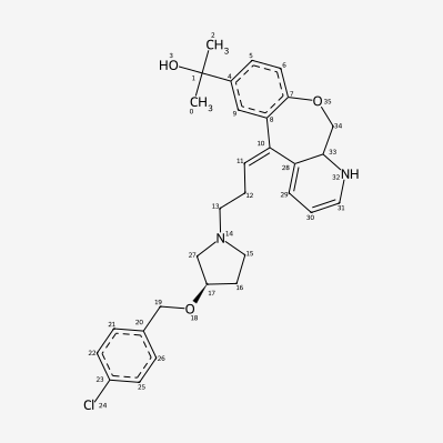 CC(C)(O)c1ccc2c(c1)/C(=C/CCN1CC[C@@H](OCc3ccc(Cl)cc3)C1)C1=CC=CNC1CO2